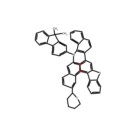 CC1(C)c2ccccc2-c2ccc(N(c3ccc4cc(C5CCCCC5)ccc4c3)c3c(-c4ccc5c(c4)sc4ccccc45)ccc4ccccc34)cc21